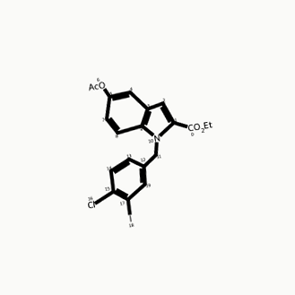 CCOC(=O)c1cc2cc(OC(C)=O)ccc2n1Cc1ccc(Cl)c(I)c1